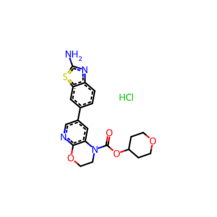 Cl.Nc1nc2ccc(-c3cnc4c(c3)N(C(=O)OC3CCOCC3)CCO4)cc2s1